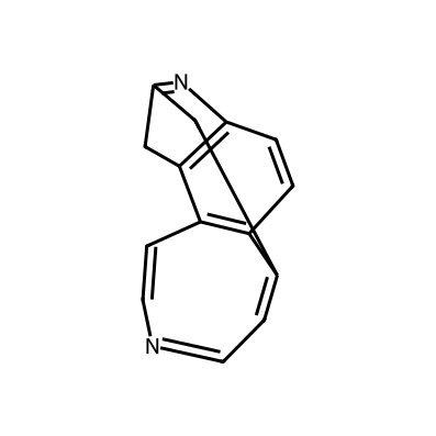 C1=Cc2c3ccc4c2CC(=N4)CC3=CC=N1